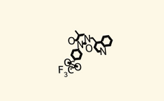 Cc1cn(Cc2ccnc3ccccc23)c(=O)n(-c2ccc(S(=O)(=O)C(F)(F)F)cc2)c1=O